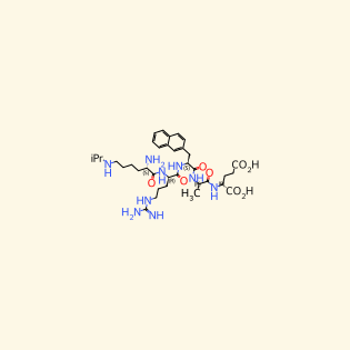 CC(C)NCCCC[C@H](N)C(=O)N[C@H](CCCNC(=N)N)C(=O)N[C@@H](Cc1ccc2ccccc2c1)C(=O)N[C@H](C)C(=O)N[C@H](CCC(=O)O)C(=O)O